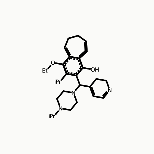 CCOc1c(C(C)C)c(C(C2=CC=NCC2)N2CCN(C(C)C)CC2)c(O)c2c1=CCCC=C=2